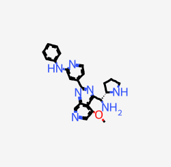 COc1cncc2nc(-c3ccnc(Nc4ccccc4)c3)nc(C(N)[C@@H]3CCCN3)c12